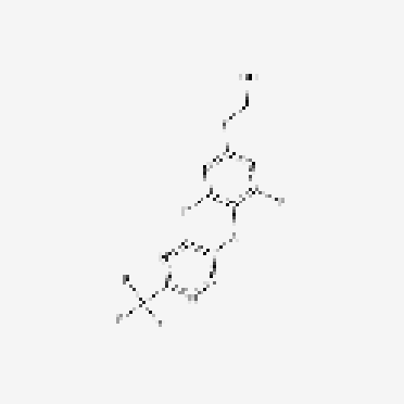 OCCc1cc(F)c(Oc2cnc(C(F)(F)F)nc2)c(F)c1